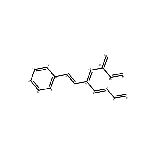 C=CC=CC(C=Cc1ccccc1)=CC(=C)C=C